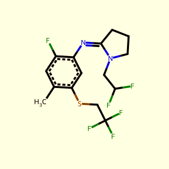 Cc1cc(F)c(/N=C2/CCCN2CC(F)F)cc1SCC(F)(F)F